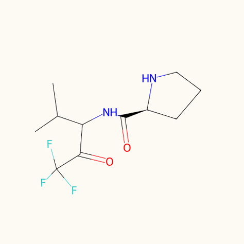 CC(C)C(NC(=O)[C@@H]1CCCN1)C(=O)C(F)(F)F